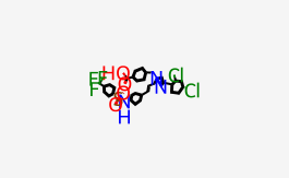 O=C(O)c1ccc(Cn2cc(-c3ccc(Cl)cc3Cl)nc2C=Cc2ccc(NS(=O)(=O)c3ccc(C(F)(F)F)cc3)cc2)cc1